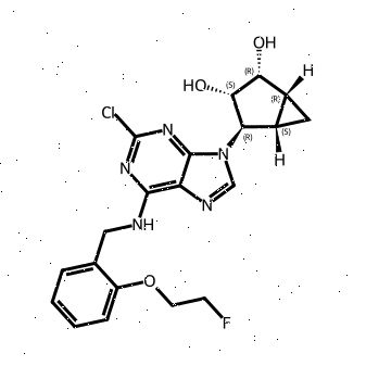 O[C@@H]1[C@H](O)[C@@H]2C[C@@H]2[C@H]1n1cnc2c(NCc3ccccc3OCCF)nc(Cl)nc21